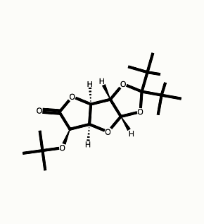 CC(C)(C)O[C@H]1C(=O)O[C@H]2[C@@H]3OC(C(C)(C)C)(C(C)(C)C)O[C@@H]3O[C@H]21